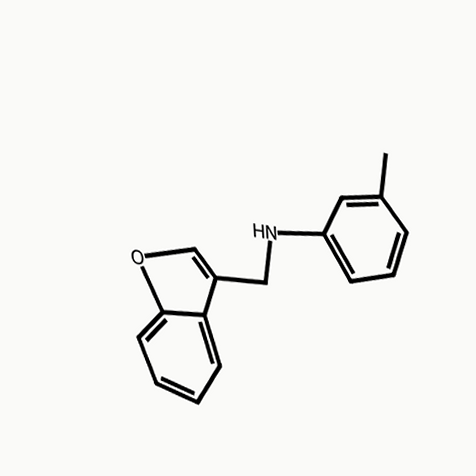 Cc1cccc(NCc2coc3ccccc23)c1